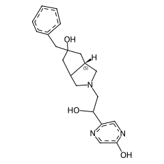 Oc1cnc(C(O)CN2CC3CC(O)(Cc4ccccc4)C[C@@H]3C2)cn1